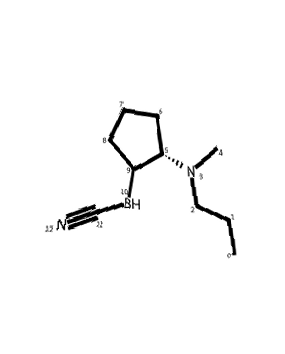 CCCN(C)[C@H]1CCCC1BC#N